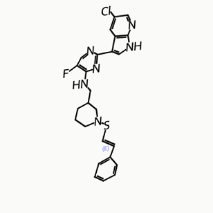 Fc1cnc(-c2c[nH]c3ncc(Cl)cc23)nc1NCC1CCCN(S/C=C/c2ccccc2)C1